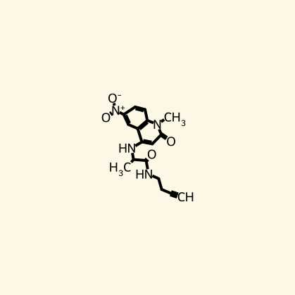 C#CCCNC(=O)C(C)Nc1cc(=O)n(C)c2ccc([N+](=O)[O-])cc12